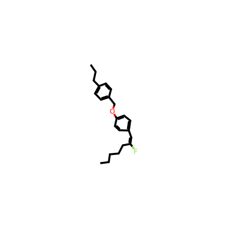 CCCCC/C(F)=C\c1ccc(OCc2ccc(CCC)cc2)cc1